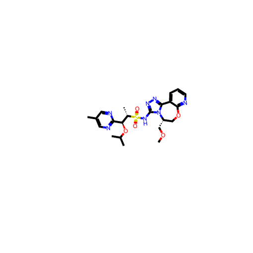 COC[C@H]1COc2ncccc2-c2nnc(NS(=O)(=O)[C@@H](C)[C@@H](OC(C)C)c3ncc(C)cn3)n21